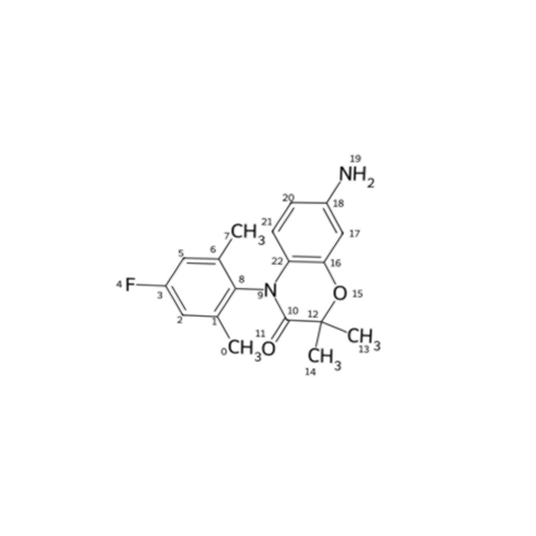 Cc1cc(F)cc(C)c1N1C(=O)C(C)(C)Oc2cc(N)ccc21